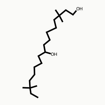 CCC(C)(C)CCCCCC(O)CCCCCC(C)(C)CCO